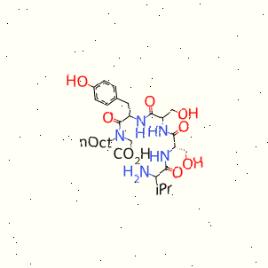 CCCCCCCCN(CC(=O)O)C(=O)C(Cc1ccc(O)cc1)NC(=O)C(CO)NC(=O)[C@H](CO)NC(=O)C(N)C(C)C